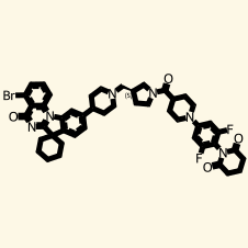 O=C(C1CCN(c2cc(F)c(N3C(=O)CCCC3=O)c(F)c2)CC1)N1CC[C@@H](CN2CCC(c3ccc4c(c3)-n3c(nc(=O)c5c(Br)cccc53)C43CCCCC3)CC2)C1